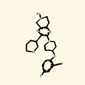 CC(=O)N1CCc2nc(N3CCC(Oc4ccc(F)cc4F)CC3)c(C3CCCOC3)nc2C1